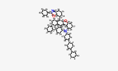 c1ccc(-c2ccc(-c3ccc(N(c4ccc(-c5ccccc5)cc4)c4cccc5oc6c(-c7cccc8nc(-c9ccccc9)oc78)c7ccccc7cc6c45)cc3)cc2)cc1